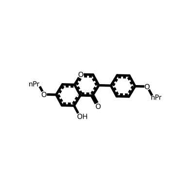 CCCOc1ccc(-c2coc3cc(OCCC)cc(O)c3c2=O)cc1